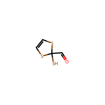 O=CC1(S)SC=CS1